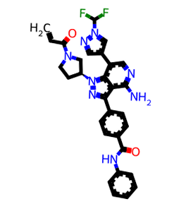 C=CC(=O)N1CC[C@H](n2nc(-c3ccc(C(=O)Nc4ccccc4)cc3)c3c(N)ncc(-c4cnn(C(F)F)c4)c32)C1